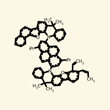 C=Cc1c(/C=C\C)ccc2c1oc1c3c(ccc12)C(C)(C)c1ccccc1N3c1cc(C(C)C)c2ccc3c(N4c5ccccc5C(C)(C)c5ccc6c(oc7c8ccccc8ccc67)c54)cc(C(C)C)c4ccc1c2c43